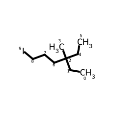 CCC(C)(CC)CCCI